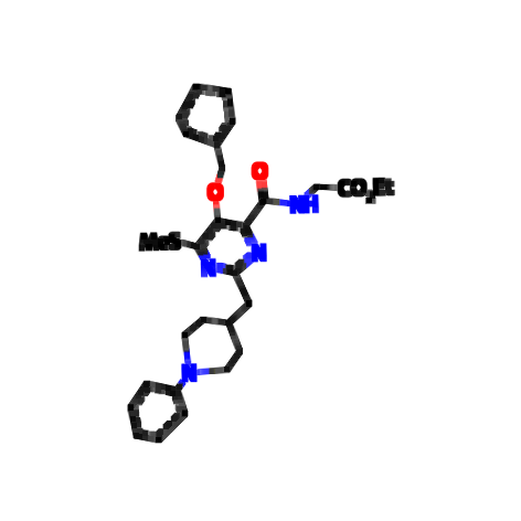 CCOC(=O)CNC(=O)c1nc(CC2CCN(c3ccccc3)CC2)nc(SC)c1OCc1ccccc1